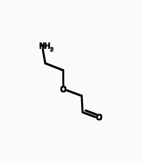 NCCOCC=O